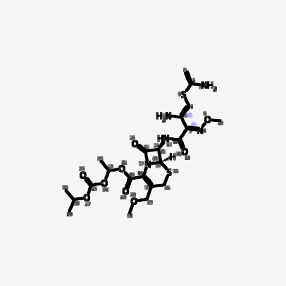 C=C(N)S/C=C(N)/C(=N\OC)C(=O)N[C@@H]1C(=O)N2C(C(=O)OC(C)OC(=O)OC(C)C)=C(COC)CS[C@H]12